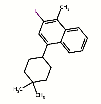 Cc1c(I)cc(C2CCC(C)(C)CC2)c2ccccc12